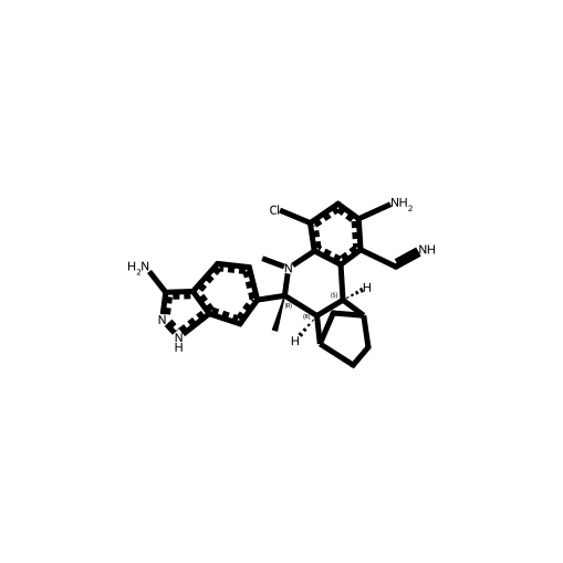 CN1c2c(Cl)cc(N)c(C=N)c2[C@H]2C3CCC(C3)[C@H]2[C@]1(C)c1ccc2c(N)n[nH]c2c1